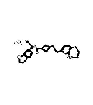 O=C(O)CC(NC(=O)C1CC(CCc2ccc3c(n2)NCCC3)C1)c1ccc2c(c1)OCC2